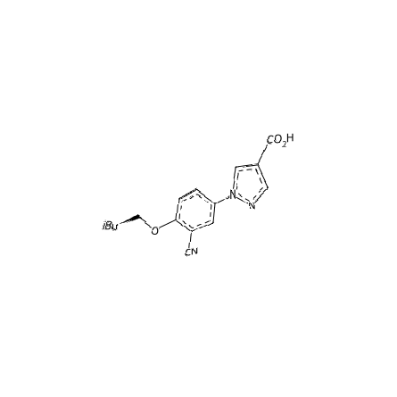 CC[C@H](C)COc1ccc(-n2cc(C(=O)O)cn2)cc1C#N